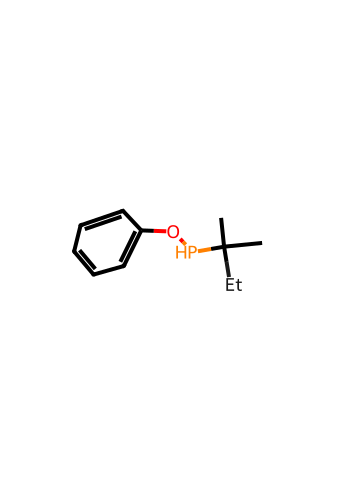 CCC(C)(C)POc1ccccc1